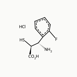 Cl.N[C@@H](c1ccccc1F)[C@H](S)C(=O)O